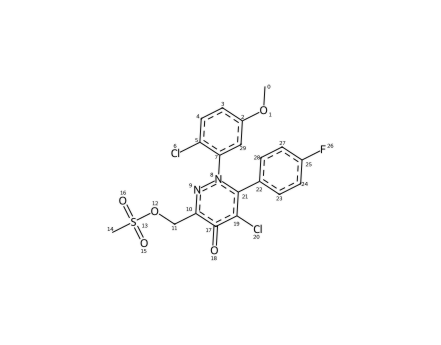 COc1ccc(Cl)c(-n2nc(COS(C)(=O)=O)c(=O)c(Cl)c2-c2ccc(F)cc2)c1